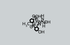 Cc1ccc(S(=O)(=O)O)cc1.N=C(NO)NN=Cc1cc(O)ccc1[N+](=O)[O-]